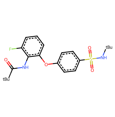 CC(C)(C)NS(=O)(=O)c1ccc(Oc2cccc(F)c2NC(=O)C(C)(C)C)cc1